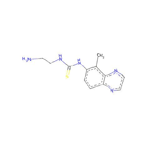 Cc1c(NC(=S)NCCN)ccc2nccnc12